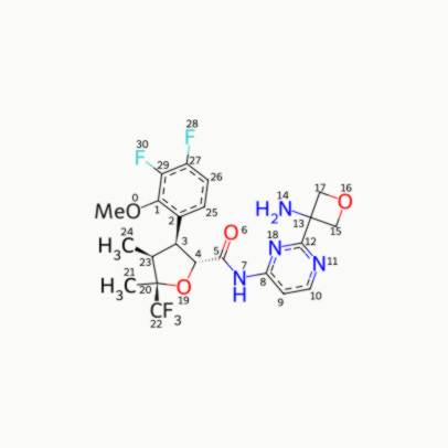 COc1c([C@H]2[C@H](C(=O)Nc3ccnc(C4(N)COC4)n3)O[C@@](C)(C(F)(F)F)[C@H]2C)ccc(F)c1F